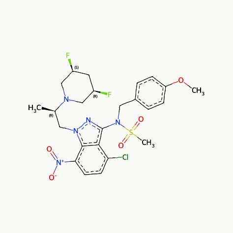 COc1ccc(CN(c2nn(C[C@@H](C)N3C[C@H](F)C[C@H](F)C3)c3c([N+](=O)[O-])ccc(Cl)c23)S(C)(=O)=O)cc1